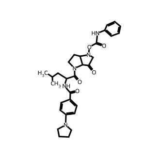 CC(C)CC(NC(=O)c1ccc(N2CCCC2)cc1)C(=O)N1CCC2C1C(=O)CN2OC(=O)Nc1ccccc1